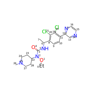 CCON(C(=O)NC(C)c1ccc(-c2cnccn2)c(Cl)c1Cl)C1CCN(C)CC1